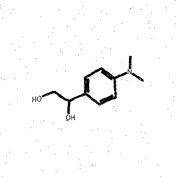 CN(C)c1ccc(C(O)CO)cc1